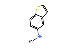 CC(C)Nc1ccc2sccc2c1